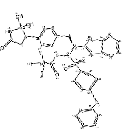 O=C1CC(c2ccc(C[C@@H](c3nc4ccccc4[nH]3)N(OC(=O)C(F)(F)F)S(=O)(=O)c3ccc(Oc4ccccc4)cc3)cc2)S(O)(O)N1